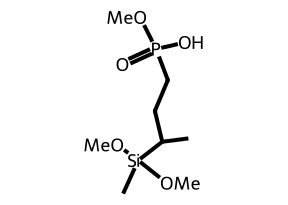 CO[Si](C)(OC)C(C)CCP(=O)(O)OC